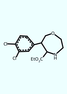 CCOC(=O)C1NCCOCC1c1ccc(Cl)c(Cl)c1